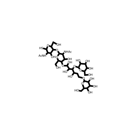 CC(=O)NC1C(S)OC(CO)C(OC2OC(CO)C(OC(O)C(O)C(OC3OC(CO)C(O)C(O)C3O)C(O)CCOC3OC(CO)C(O)C(O)C3O)C(O)C2NC(C)=O)C1O